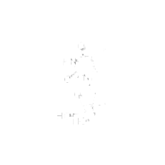 Cc1cn(C2CC(C)(CO)C(CO)O2)c(=O)[nH]c1=O